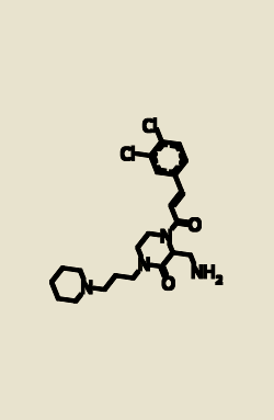 NCC1C(=O)N(CCCN2CCCCC2)CCN1C(=O)C=Cc1ccc(Cl)c(Cl)c1